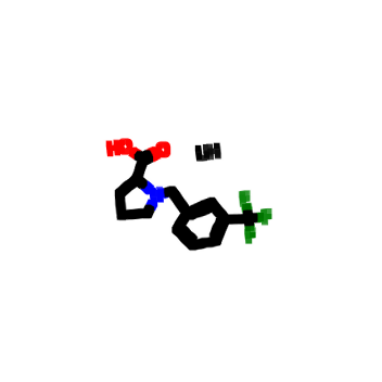 O=C(O)C1CCCN1Cc1cccc(C(F)(F)F)c1.[LiH]